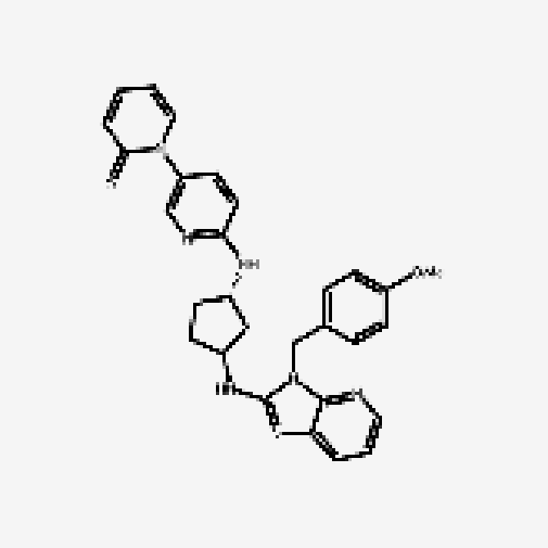 COc1ccc(Cn2c(N[C@H]3CC[C@H](Nc4ccc(-n5ccccc5=O)cn4)C3)nc3cccnc32)cc1